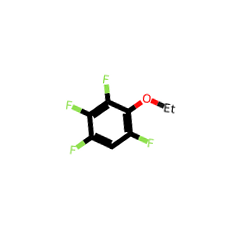 CCOc1c(F)cc(F)c(F)c1F